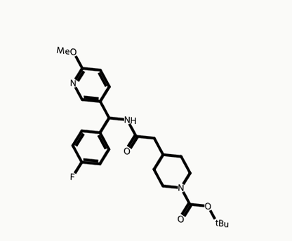 COc1ccc(C(NC(=O)CC2CCN(C(=O)OC(C)(C)C)CC2)c2ccc(F)cc2)cn1